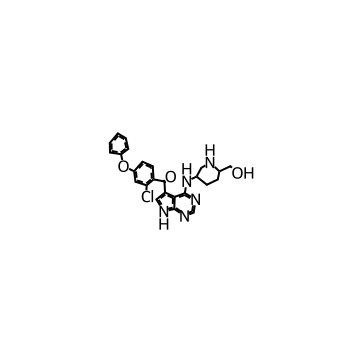 O=C(c1ccc(Oc2ccccc2)cc1Cl)c1c[nH]c2ncnc(NC3CCC(CO)NC3)c12